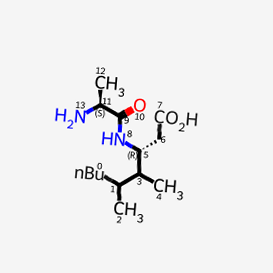 CCCCC(C)C(C)[C@@H](CC(=O)O)NC(=O)[C@H](C)N